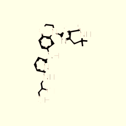 CC1(C)Cc2nc(N3CCOc4ccc(Nc5cccc(NCC(O)CO)n5)cc43)sc2C(=O)N1